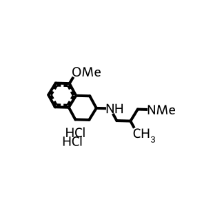 CNCC(C)CNC1CCc2cccc(OC)c2C1.Cl.Cl